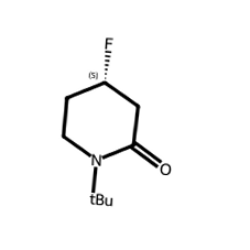 CC(C)(C)N1CC[C@H](F)CC1=O